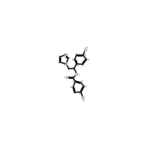 O=C(OC(Cn1ccnc1)c1ccc(Cl)cc1)c1ccc(Cl)cc1